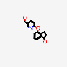 O=Cc1ccc(Oc2cccc3c2CCC3=O)nc1